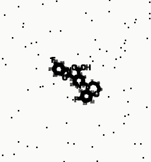 O=C(O)c1cc(N2CCCOc3ccc(F)cc32)ncc1-c1nc2cc(F)ccc2o1